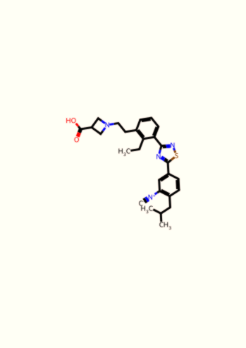 [C-]#[N+]c1cc(-c2nc(-c3cccc(CCN4CC(C(=O)O)C4)c3CC)ns2)ccc1CC(C)C